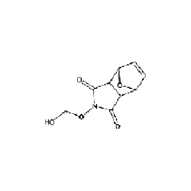 O=C1C2C3C=CC(O3)C2C(=O)N1OCO